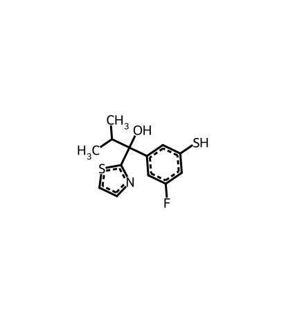 CC(C)C(O)(c1cc(F)cc(S)c1)c1nccs1